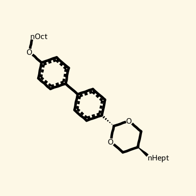 CCCCCCCCOc1ccc(-c2ccc([C@H]3OC[C@H](CCCCCCC)CO3)cc2)cc1